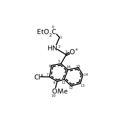 CCOC(=O)CNC(=O)c1cc(Cl)c(OC)c2ccccc12